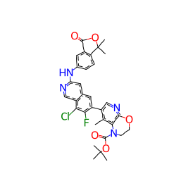 Cc1c(-c2cc3cc(Nc4ccc5c(c4)C(=O)OC5(C)C)ncc3c(Cl)c2F)cnc2c1N(C(=O)OC(C)(C)C)CCO2